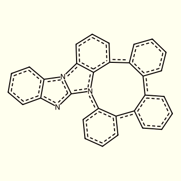 c1ccc2c(c1)nc1n2c2cccc3c4ccccc4c4ccccc4c4ccccc4n1c32